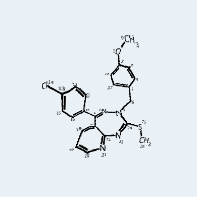 COc1ccc(CN2N=C(c3ccc(Cl)cc3)c3cccnc3N=C2SC)cc1